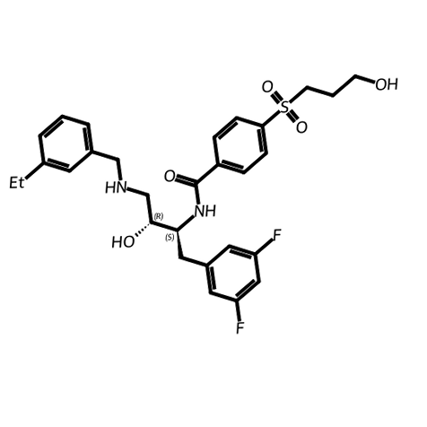 CCc1cccc(CNC[C@@H](O)[C@H](Cc2cc(F)cc(F)c2)NC(=O)c2ccc(S(=O)(=O)CCCO)cc2)c1